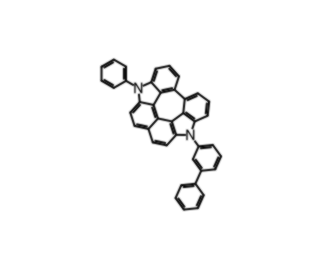 c1ccc(-c2cccc(-n3c4cccc5c4c4c6c(ccc7c6c6c-5cccc6n7-c5ccccc5)ccc43)c2)cc1